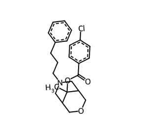 CC1(OC(=O)c2ccc(Cl)cc2)C2COCC1CN(CCCc1ccccc1)C2